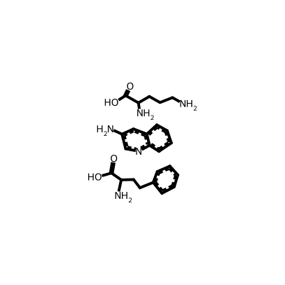 NC(CCc1ccccc1)C(=O)O.NCCCC(N)C(=O)O.Nc1cnc2ccccc2c1